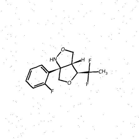 CC(F)(F)[C@H]1OC[C@]2(c3ccccc3F)NOC[C@H]12